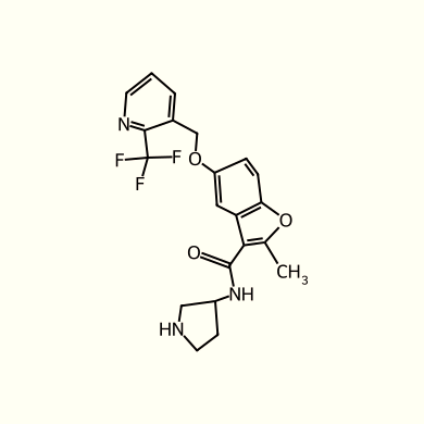 Cc1oc2ccc(OCc3cccnc3C(F)(F)F)cc2c1C(=O)NC1CCNC1